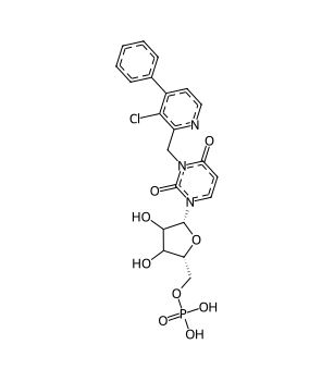 O=c1ccn([C@@H]2O[C@H](COP(=O)(O)O)C(O)C2O)c(=O)n1Cc1nccc(-c2ccccc2)c1Cl